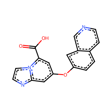 O=C(O)c1cc(Oc2ccc3ccncc3c2)cc2nccn12